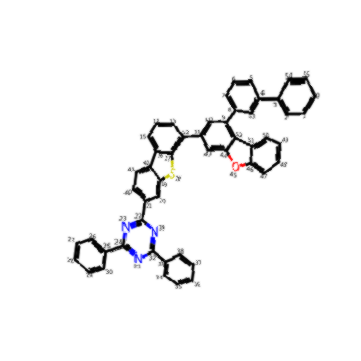 c1ccc(-c2cccc(-c3cc(-c4cccc5c4sc4cc(-c6nc(-c7ccccc7)nc(-c7ccccc7)n6)ccc45)cc4oc5ccccc5c34)c2)cc1